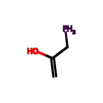 C=C(O)CP